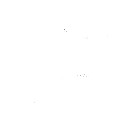 COc1cc2c([AsH]c3cccc4cc[nH]c34)ncnc2cc1OCCCN1CCOCC1